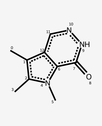 Cc1c(C)n(C)c2c(=O)[nH]ncc12